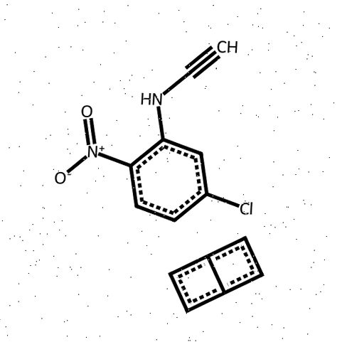 C#CNc1cc(Cl)ccc1[N+](=O)[O-].c1cc2ccc1-2